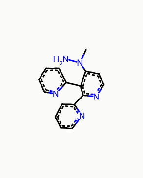 CN(N)c1ccnc(-c2ccccn2)c1-c1ccccn1